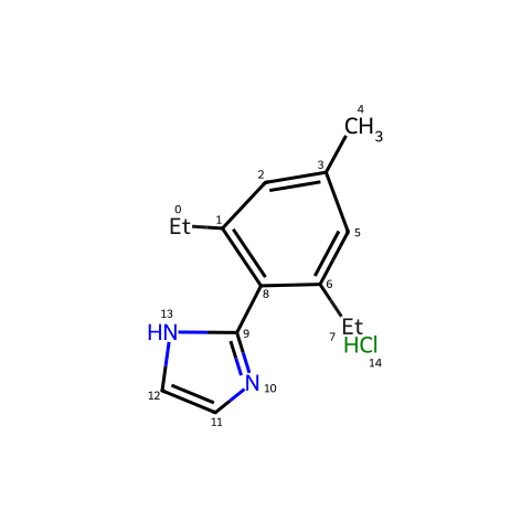 CCc1cc(C)cc(CC)c1-c1ncc[nH]1.Cl